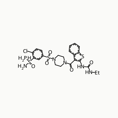 CCNC(=O)Nc1sc2ccccc2c1C(=O)N1CCN(S(=O)(=O)c2ccc(Cl)c([SH](N)(=O)P)c2)CC1